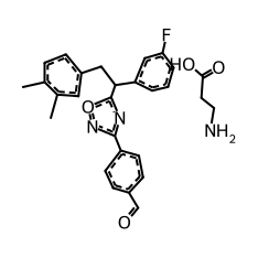 Cc1ccc(CC(c2cccc(F)c2)c2nc(-c3ccc(C=O)cc3)no2)cc1C.NCCC(=O)O